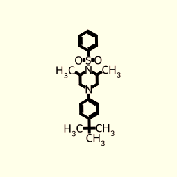 CC1CN(c2ccc(C(C)(C)C)cc2)CC(C)N1S(=O)(=O)c1ccccc1